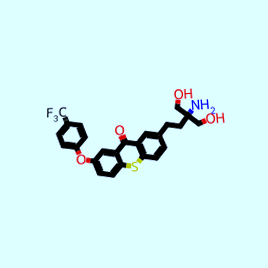 NC(CO)(CO)CCc1ccc2sc3ccc(Oc4ccc(C(F)(F)F)cc4)cc3c(=O)c2c1